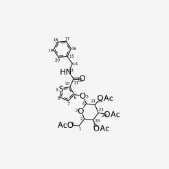 CC(=O)OCC1OC(Oc2ccsc2C(=O)NCc2ccccc2)C(OC(C)=O)C(OC(C)=O)C1OC(C)=O